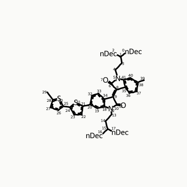 CCCCCCCCCCC(CCCCCCCCCC)CCN1C(=O)/C(=C2/C(=O)N(CCC(CCCCCCCCCC)CCCCCCCCCC)c3cc(-c4ccc(-c5ccc(C)s5)s4)ccc32)c2ccc(C)cc21